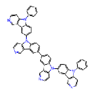 c1ccc(-n2c3ccncc3c3cc(-n4c5ccncc5c5cc(-c6ccc7c(c6)c6cnccc6n7-c6ccc7c(c6)c6cnccc6n7-c6ccccc6)ccc54)ccc32)cc1